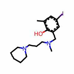 Cc1cc(I)cc(CN(C)CCCN2CCCCC2)c1O